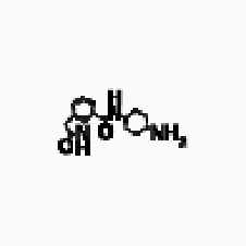 NC1CCC(NC(=O)c2cccc3c2NC(=O)C3)CC1